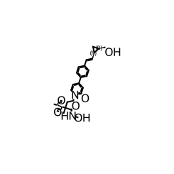 CC(CCn1ccc(-c2ccc(C=C[C@H]3C[C@H]3CO)cc2)cc1=O)(C(=O)NO)S(C)(=O)=O